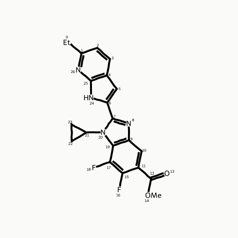 CCc1ccc2cc(-c3nc4cc(C(=O)OC)c(F)c(F)c4n3C3CC3)[nH]c2n1